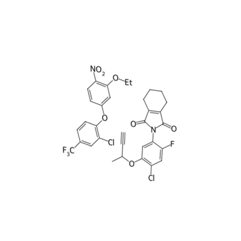 C#CC(C)Oc1cc(N2C(=O)C3=C(CCCC3)C2=O)c(F)cc1Cl.CCOc1cc(Oc2ccc(C(F)(F)F)cc2Cl)ccc1[N+](=O)[O-]